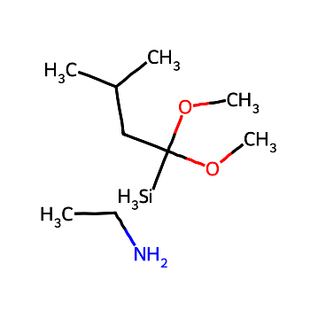 CCN.COC([SiH3])(CC(C)C)OC